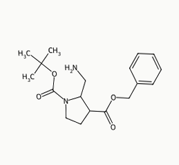 CC(C)(C)OC(=O)N1CCC(C(=O)OCc2ccccc2)C1CN